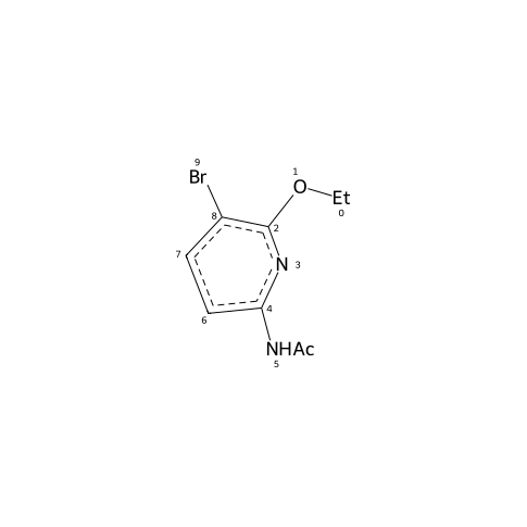 CCOc1nc(NC(C)=O)ccc1Br